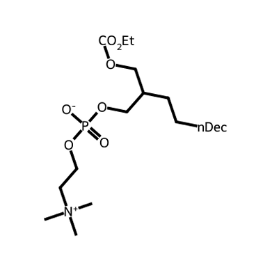 CCCCCCCCCCCCC(COC(=O)OCC)COP(=O)([O-])OCC[N+](C)(C)C